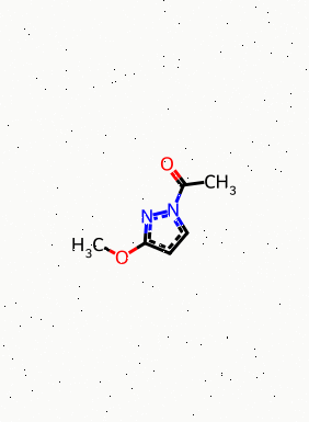 COc1ccn(C(C)=O)n1